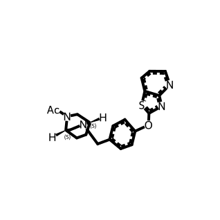 CC(=O)N1C[C@@H]2CC[C@H]1CN2Cc1ccc(Oc2nc3ncccc3s2)cc1